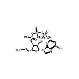 COC[C@H]1O[C@@H](n2cnc3c(N)ncnc32)[C@H](O)[C@@H]1OP(=O)(O)OP(=O)(O)OP(=O)(O)O